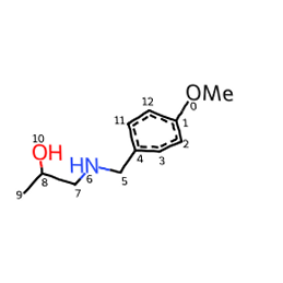 COc1ccc(CNCC(C)O)cc1